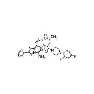 CC(C)CC(Nc1nc(N)n2nc(-c3ccco3)nc2c1C=N)C(=O)N1CCN(c2ccc(F)cc2F)CC1